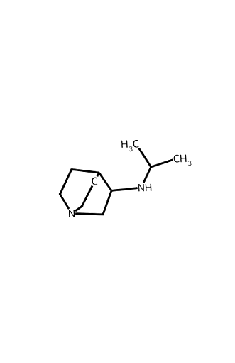 CC(C)NC1CN2CCC1CC2